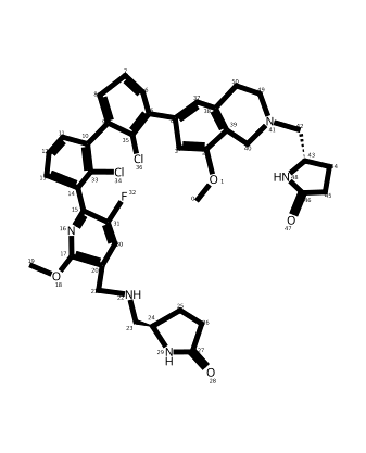 COc1cc(-c2cccc(-c3cccc(-c4nc(OC)c(CNC[C@H]5CCC(=O)N5)cc4F)c3Cl)c2Cl)cc2c1CN(C[C@@H]1CCC(=O)N1)CC2